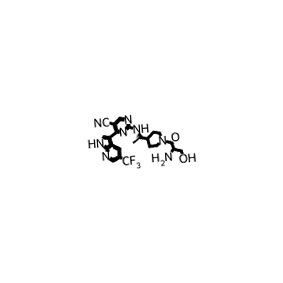 C[C@@H](Nc1ncc(C#N)c(-c2c[nH]c3ncc(C(F)(F)F)cc23)n1)C1CCN(C(=O)C(N)CO)CC1